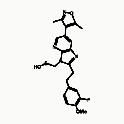 COc1ccc(CCc2nc3cc(-c4c(C)noc4C)cnc3n2CSO)cc1F